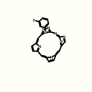 Fc1cccc(-n2c3cc4nc(cc5ccc(cc6nc(nc2nn3)N=C6)[nH]5)C=C4)c1